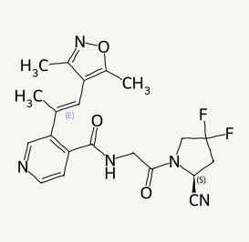 C/C(=C\c1c(C)noc1C)c1cnccc1C(=O)NCC(=O)N1CC(F)(F)C[C@H]1C#N